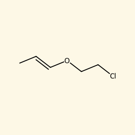 CC=COCCCl